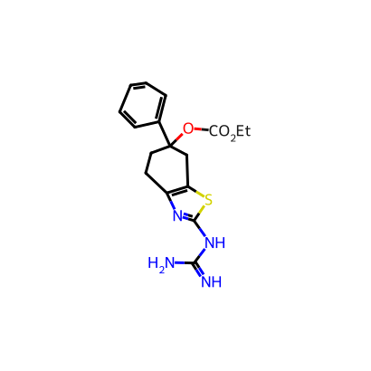 CCOC(=O)OC1(c2ccccc2)CCc2nc(NC(=N)N)sc2C1